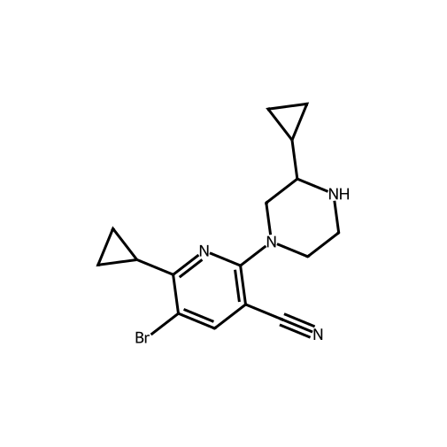 N#Cc1cc(Br)c(C2CC2)nc1N1CCNC(C2CC2)C1